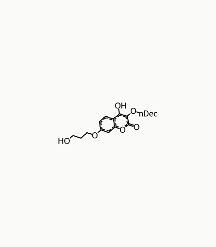 CCCCCCCCCCOc1c(O)c2ccc(OCCCO)cc2oc1=O